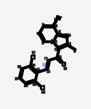 Cc1nc2c(Br)cccn2c1C(=O)/C=C/c1c(Cl)cccc1Cl